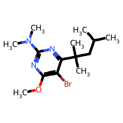 COc1nc(N(C)C)nc(C(C)(C)CC(C)C)c1Br